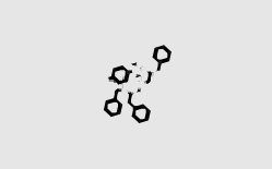 O=C(N[C@@H](COC(=O)[C@H](Cc1ccccc1)NS(=O)(=O)c1ccc(F)cc1)Cc1ccccc1)c1ccccc1